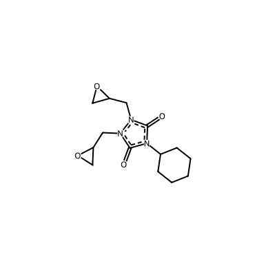 O=c1n(C2CCCCC2)c(=O)n(CC2CO2)n1CC1CO1